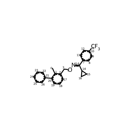 Cc1c(CON=C(c2ccc(C(F)(F)F)cc2)C2CC2)cccc1-c1ccccc1